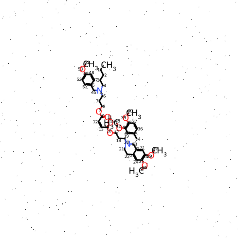 CCCCCN(CCCOC(=O)/C=C\C(=O)OCCCN1CCc2cc(OC)c(OC)cc2[C@H]1Cc1ccc(OC)c(OC)c1)Cc1ccc(OC)cc1